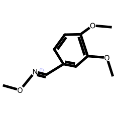 CO/N=C/c1ccc(OC)c(OC)c1